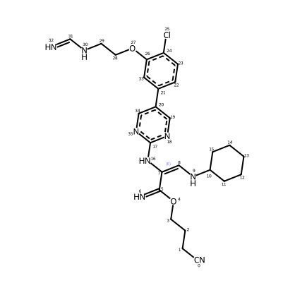 N#CCCCOC(=N)/C(=C\NC1CCCCC1)Nc1ncc(-c2ccc(Cl)c(OCCNC=N)c2)cn1